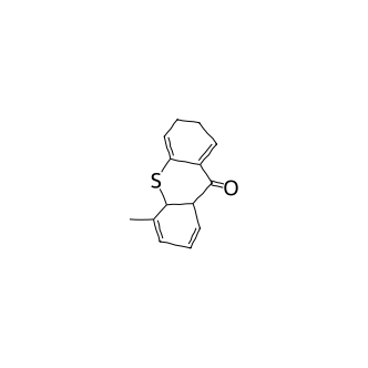 CC1=CC=CC2C(=O)C3=CCCC=C3SC12